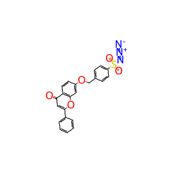 [N-]=[N+]=NS(=O)(=O)c1ccc(COc2ccc3c(=O)cc(-c4ccccc4)oc3c2)cc1